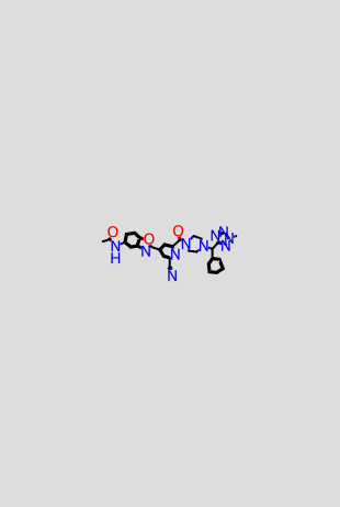 CC(=O)Nc1ccc2oc(-c3cc(C#N)nc(C(=O)N4CCN(C(c5ccccc5)c5nnn(C)n5)CC4)c3)nc2c1